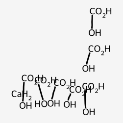 O=C(O)O.O=C(O)O.O=C(O)O.O=C(O)O.O=C(O)O.O=C(O)O.O=C(O)O.[CaH2]